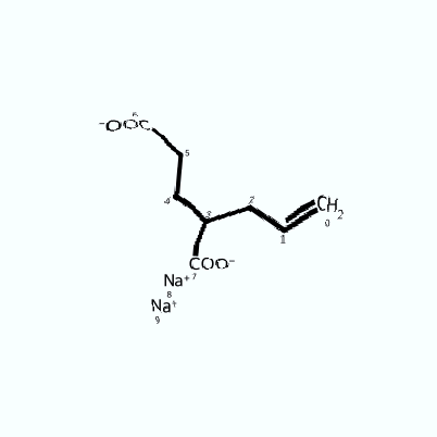 C=CCC(CCC(=O)[O-])C(=O)[O-].[Na+].[Na+]